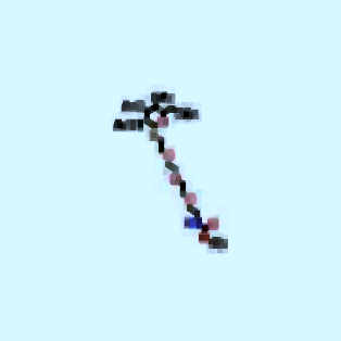 CC(=O)N[C@@H]1[C@@H](OC(C)=O)[C@@H](OC(C)=O)[C@@H](COC(C)=O)O[C@@H]1SCCOCCOCCOCCNC(=O)OC(C)(C)C